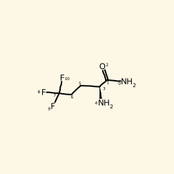 NC(=O)[C@@H](N)CCC(F)(F)F